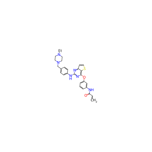 C=CC(=O)Nc1cccc(Oc2nc(Nc3ccc(CN4CCN(CC)CC4)cc3)nc3ccsc23)c1